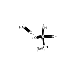 O=S(=O)(O)O.[NaH].[O]=[AlH]